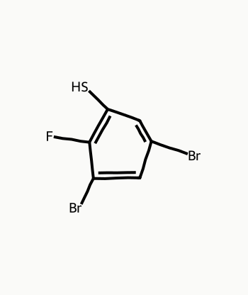 Fc1c(S)cc(Br)cc1Br